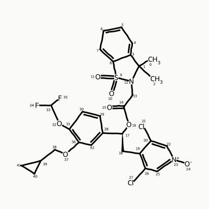 CC1(C)c2ccccc2S(=O)(=O)N1CC(=O)O[C@@H](Cc1c(Cl)c[n+]([O-])cc1Cl)c1ccc(OC(F)F)c(OCC2CC2)c1